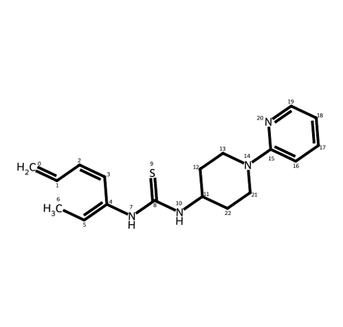 C=C/C=C\C(=C/C)NC(=S)NC1CCN(c2ccccn2)CC1